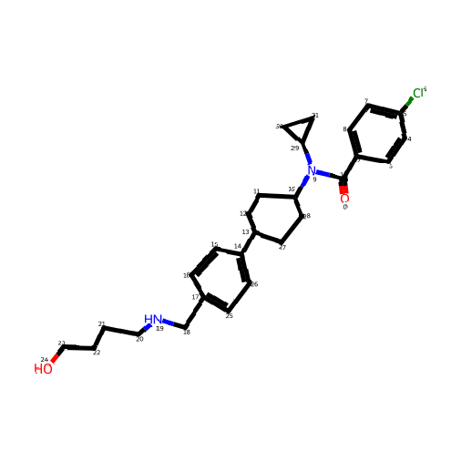 O=C(c1ccc(Cl)cc1)N(C1CCC(c2ccc(CNCCCCO)cc2)CC1)C1CC1